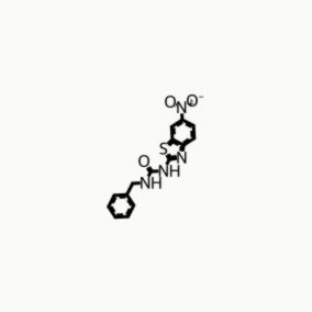 O=C(NCc1ccccc1)Nc1nc2ccc([N+](=O)[O-])cc2s1